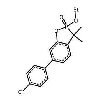 CCOP1(=O)Oc2cc(-c3ccc(Cl)cc3)ccc2C1(C)C